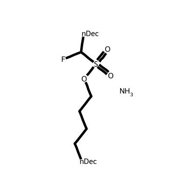 CCCCCCCCCCCCCCOS(=O)(=O)C(F)CCCCCCCCCC.N